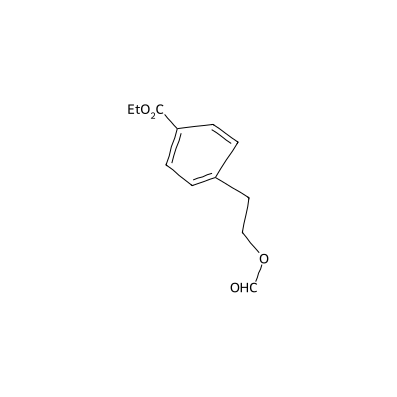 CCOC(=O)c1ccc(CCOC=O)cc1